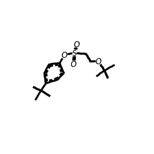 CC(C)(C)OCCS(=O)(=O)Oc1ccc(C(C)(C)C)cc1